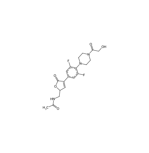 CC(=O)NCC1C=C(c2cc(F)c(N3CCN(C(=O)CO)CC3)c(F)c2)C(=O)O1